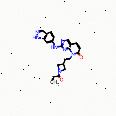 C=CC(=O)N1CC(CCn2c(=O)ccc3cnc(Nc4ccc5cn[nH]c5c4)nc32)C1